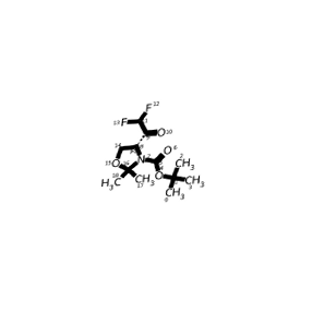 CC(C)(C)OC(=O)N1[C@@H](C(=O)C(F)F)COC1(C)C